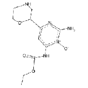 CCOC(=O)Nc1cc(C2CNCCO2)nc(N)[n+]1[O-]